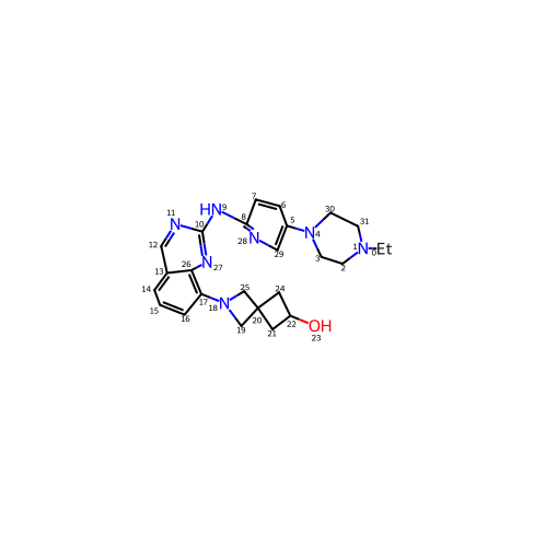 CCN1CCN(c2ccc(Nc3ncc4cccc(N5CC6(CC(O)C6)C5)c4n3)nc2)CC1